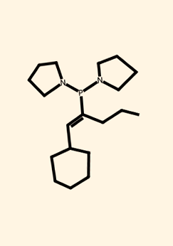 CCC/C(=C\C1CCCCC1)P(N1CCCC1)N1CCCC1